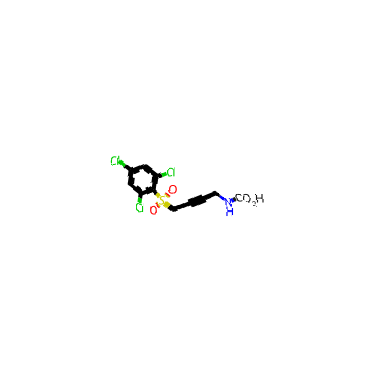 O=C(O)NCC#CCS(=O)(=O)c1c(Cl)cc(Cl)cc1Cl